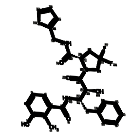 Cc1c(O)cccc1C(=O)N[C@@H](Cc1ccccc1)[C@H](O)C(=O)N1CC(F)(F)C[C@H]1C(=O)NCc1cccs1